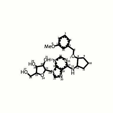 COc1cccc(COC2CCCC2Nc2ncnc3c2ncn3C2OC(CO)C(O)C2O)c1